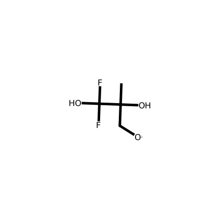 CC(O)(C[O])C(O)(F)F